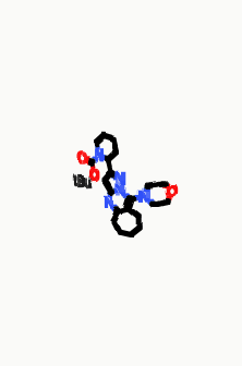 CC(C)(C)OC(=O)N1CCCCC1c1cc2nc3c(c(N4CCOCC4)n2n1)CCCCC3